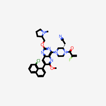 C=C(F)C(=O)N1CCN(c2nc(OCC3CCCN3C)nc3cc(-c4cccc5cccc(Cl)c45)c(OC)nc23)C[C@@H]1CC#N